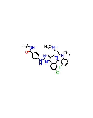 CNCCCN(C)c1cccc(F)c1C1=NCc2cnc(Nc3ccc(C(=O)NC)cc3)nc2-c2ccc(Cl)cc21